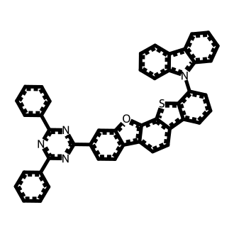 c1ccc(-c2nc(-c3ccccc3)nc(-c3ccc4c(c3)oc3c4ccc4c5cccc(-n6c7ccccc7c7ccccc76)c5sc43)n2)cc1